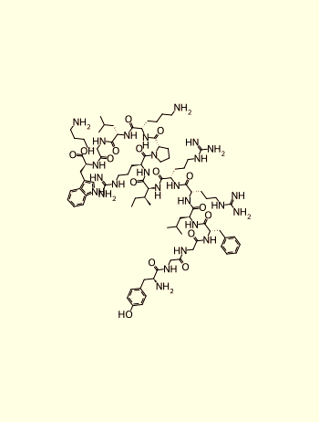 CC[C@H](C)[C@H](NC(=O)[C@H](CCCNC(=N)N)NC(=O)[C@H](CCCNC(=N)N)NC(=O)[C@H](CC(C)C)NC(=O)[C@H](Cc1ccccc1)NC(=O)CNC(=O)CNC(=O)[C@@H](N)Cc1ccc(O)cc1)C(=O)N[C@@H](CCCNC(=N)N)C(=O)N1CCC[C@H]1C(=O)N[C@@H](CCCCN)C(=O)N[C@@H](CC(C)C)C(=O)N[C@@H](CCCCN)C(=O)N[C@@H](Cc1c[nH]c2ccccc12)C(=O)O